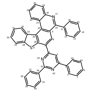 c1ccc(-c2cc(-c3cc4c(-c5ccccc5)nc5ccccc5c4c4c3sc3ccccc34)nc(-c3ccccc3)n2)cc1